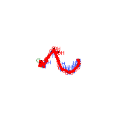 Cc1sc2c(c1C)C(c1ccc(Cl)cc1)=N[C@@H](CC(=O)Nc1ccc(OCCOCCOCCNC(=O)[C@@H](CCC(=O)O)NC(=O)[C@@H](CCC(=O)O)NC(=O)CCOCCOCCOCCNC(=O)CCNC(=O)c3nc(NC(=O)CCNC(=O)c4cc(NC(=O)c5nc(NC(=O)CCNC(=O)c6cc(NC(=O)c7nccn7C)cn6C)cn5C)cn4C)cn3C)cc1)c1nnc(C)n1-2